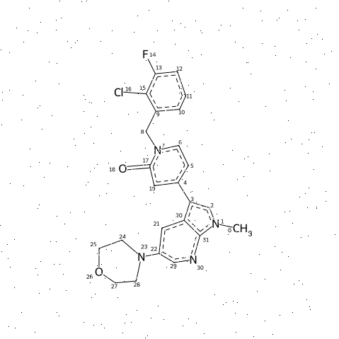 Cn1cc(-c2ccn(Cc3cccc(F)c3Cl)c(=O)c2)c2cc(N3CCOCC3)cnc21